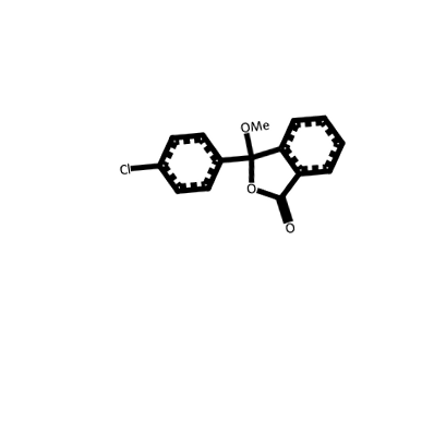 COC1(c2ccc(Cl)cc2)OC(=O)c2ccccc21